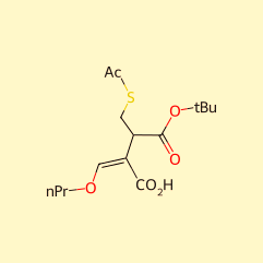 CCCO/C=C(\C(=O)O)C(CSC(C)=O)C(=O)OC(C)(C)C